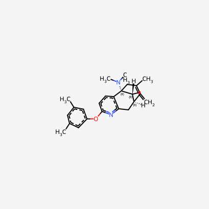 C=C[C@@H]1[C@H]2C=C(C)C[C@]1(N(C)C)c1ccc(Oc3cc(C)cc(C)c3)nc1C2